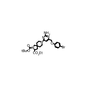 CCOC(=O)C1CC2(CCN(c3cc(COc4ccc(Br)cc4)nc(N)n3)CC2)CN1C(=O)OC(C)(C)C